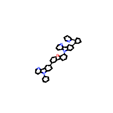 c1ccc(-n2c3ccc(-c4ccc5oc6c(-n7c8ccc(-c9ccccc9-c9ccccn9)cc8c8ncccc87)cccc6c5c4)cc3c3ncccc32)cc1